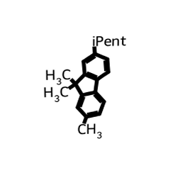 CCCC(C)c1ccc2c(c1)C(C)(C)c1cc(C)ccc1-2